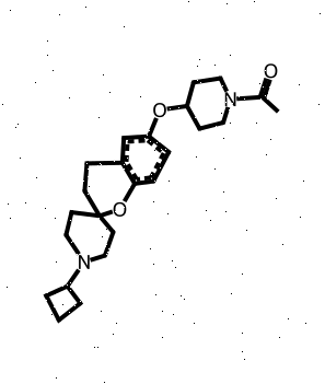 CC(=O)N1CCC(Oc2ccc3c(c2)CCC2(CCN(C4CCC4)CC2)O3)CC1